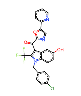 O=C(c1ncc(-c2ccccn2)o1)c1c(C(F)(F)F)n(Cc2ccc(Cl)cc2)c2ccc(O)cc12